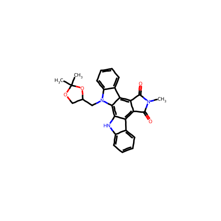 CN1C(=O)c2c(c3c4ccccc4n(CC4COC(C)(C)O4)c3c3[nH]c4ccccc4c23)C1=O